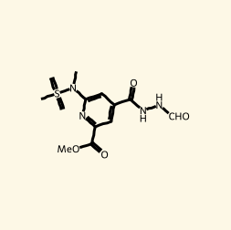 C=S(=C)(C)N(C)c1cc(C(=O)NNC=O)cc(C(=O)OC)n1